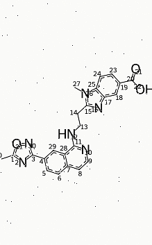 Cc1nc(-c2ccc3ccnc(NCCc4nc5cc(C(=O)O)ccc5n4C)c3c2)no1